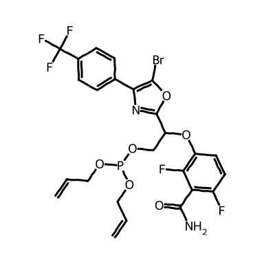 C=CCOP(OCC=C)OCC(Oc1ccc(F)c(C(N)=O)c1F)c1nc(-c2ccc(C(F)(F)F)cc2)c(Br)o1